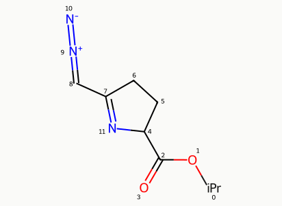 CC(C)OC(=O)C1CCC(C=[N+]=[N-])=N1